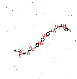 C=CC(=O)O[C@@H](C)COC(=O)CCC(=O)OCCc1ccc(OC(=O)C2CCC(C(=O)Oc3ccc(CCOC(=O)CCC(=O)OC[C@H](C)OC(=O)C=C)cc3)CC2)cc1